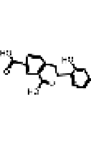 O=C(O)c1ccc(CCc2ccccc2O)c(C(=O)O)c1